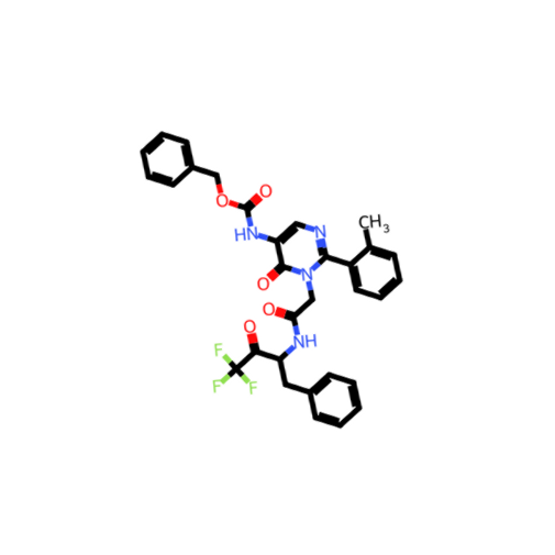 Cc1ccccc1-c1ncc(NC(=O)OCc2ccccc2)c(=O)n1CC(=O)NC(Cc1ccccc1)C(=O)C(F)(F)F